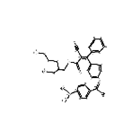 CCCCC(CC)COC(=O)C(C#N)=C(c1ccccc1)c1ccccc1.CN(C)c1ccc(C(=O)O)cc1